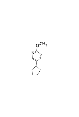 COc1ccc(C2CCCC2)cn1